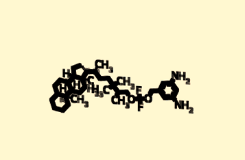 CC(COC(F)(F)OCc1cc(N)cc(N)c1)C(C)(C)CC[C@@H](C)[C@H]1CC[C@H]2[C@@H]3CCC4CCCC[C@]4(C)[C@H]3CC[C@]12C